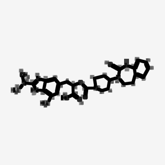 Cc1cc(C[C@@H](OC(=O)N2CCC(N3CCc4ccccc4NC3=O)CC2)C(=O)O)cc2nc(N(C)C)[nH]c12